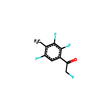 O=C(CF)c1cc(F)c(C(F)(F)F)c(F)c1F